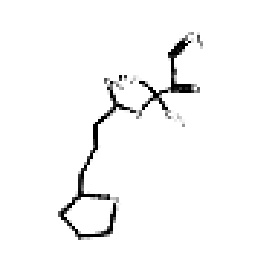 C=CC(=O)C(C)(C)OC(C)CCCC1CCCO1